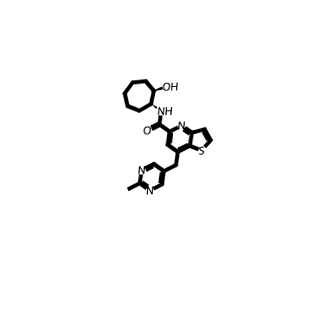 Cc1ncc(Cc2cc(C(=O)N[C@@H]3CCCCC[C@H]3O)nc3ccsc23)cn1